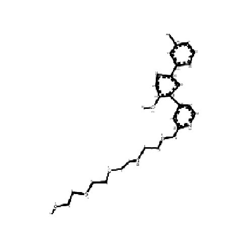 COCCOCCOCCOCCOCc1cc(-c2cc(-c3cccc(C)c3)ccc2OC)ccn1